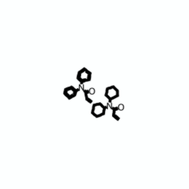 C=CC(=O)N(C1CCCCC1)C1CCCCC1.C=CC(=O)N(c1ccccc1)c1ccccc1